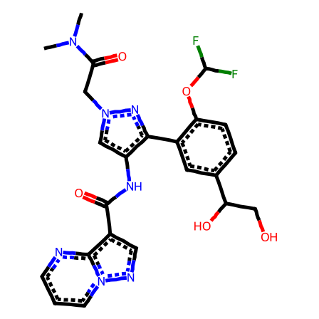 CN(C)C(=O)Cn1cc(NC(=O)c2cnn3cccnc23)c(-c2cc(C(O)CO)ccc2OC(F)F)n1